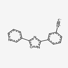 [C-]#[N+]c1cccc(-c2noc(-c3cccnc3)n2)c1